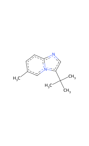 Cc1ccc2ncc(C(C)(C)C)n2c1